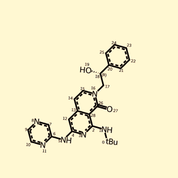 CC(C)(C)Nc1nc(Nc2cnccn2)cc2ccn(C[C@H](O)c3ccccc3)c(=O)c12